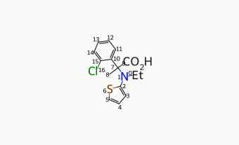 CCN(c1cccs1)C(C)(C(=O)O)c1ccccc1Cl